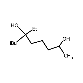 CCC(C)C(O)(CC)CCCC(C)O